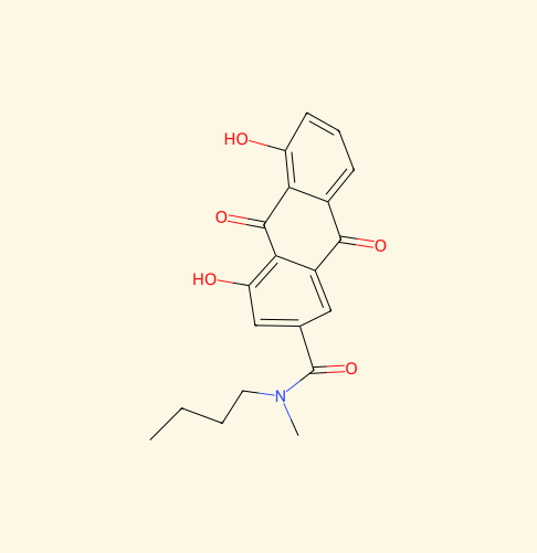 CCCCN(C)C(=O)c1cc(O)c2c(c1)C(=O)c1cccc(O)c1C2=O